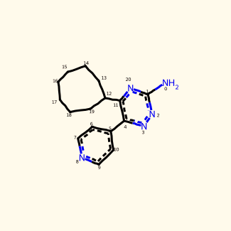 Nc1nnc(-c2ccncc2)c(C2CCCCCCC2)n1